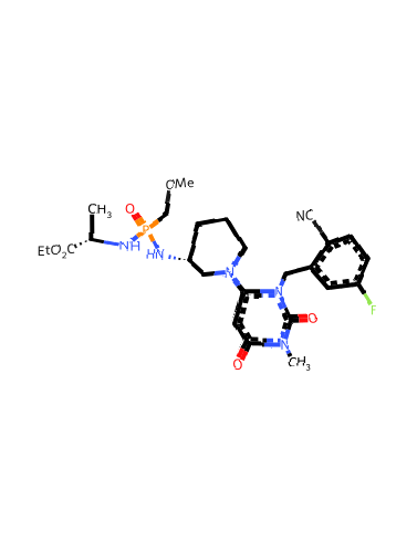 CCOC(=O)[C@H](C)NP(=O)(COC)N[C@@H]1CCCN(c2cc(=O)n(C)c(=O)n2Cc2cc(F)ccc2C#N)C1